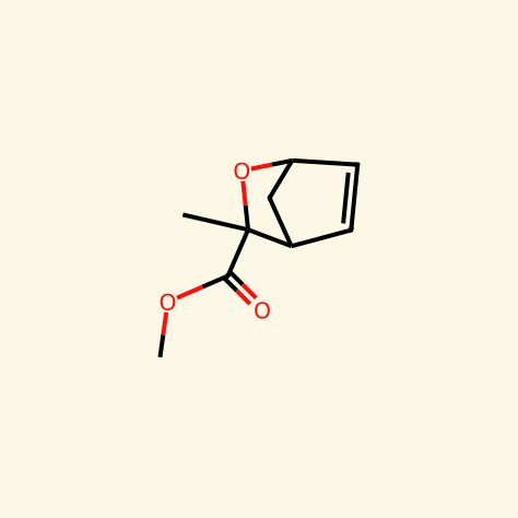 COC(=O)C1(C)OC2C=CC1C2